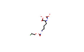 CC(C)(C)OC(=O)NC(CCCCNC(=O)OCCCl)C(=O)OC(C)(C)C